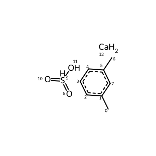 Cc1cccc(C)c1.O=[SH](=O)O.[CaH2]